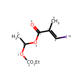 CCOC(=O)OC(C)OC(=O)C(C)=CI